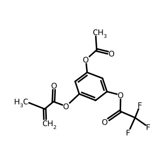 C=C(C)C(=O)Oc1cc(OC(C)=O)cc(OC(=O)C(F)(F)F)c1